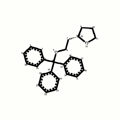 c1ccc(C(OCC[C@@H]2CCCO2)(c2ccccc2)c2ccccc2)cc1